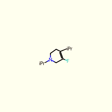 CC(C)C1=C(F)CN(C(C)C)CC1